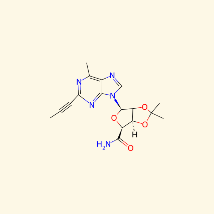 CC#Cc1nc(C)c2ncn([C@@H]3O[C@H](C(N)=O)[C@@H]4OC(C)(C)OC43)c2n1